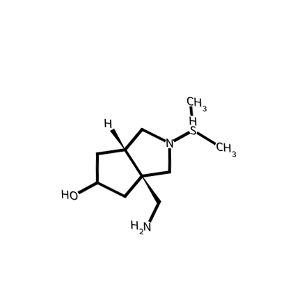 C[SH](C)N1C[C@H]2CC(O)C[C@@]2(CN)C1